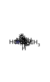 CCc1ccc(F)c(C(Nc2ccc(/C(N)=N/O)cc2)c2nc(-c3ccccc3)c[nH]2)c1